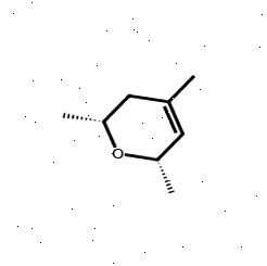 CC1=C[C@H](C)O[C@H](C)C1